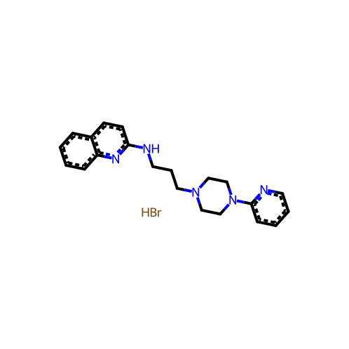 Br.c1ccc(N2CCN(CCCNc3ccc4ccccc4n3)CC2)nc1